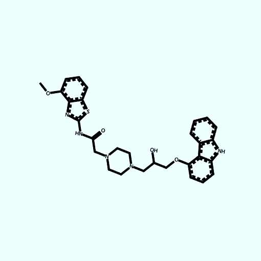 COc1cccc2sc(NC(=O)CN3CCN(CC(O)COc4cccc5[nH]c6ccccc6c45)CC3)nc12